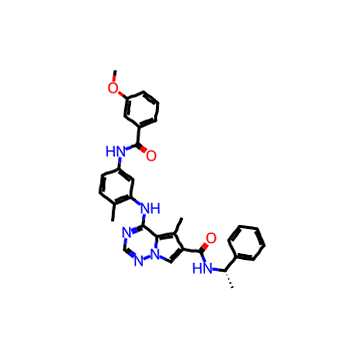 COc1cccc(C(=O)Nc2ccc(C)c(Nc3ncnn4cc(C(=O)N[C@@H](C)c5ccccc5)c(C)c34)c2)c1